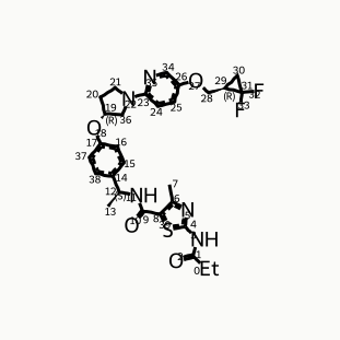 CCC(=O)Nc1nc(C)c(C(=O)N[C@@H](C)c2ccc(O[C@@H]3CCN(c4ccc(OC[C@H]5CC5(F)F)cn4)C3)cc2)s1